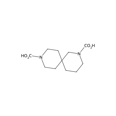 O=C(O)N1CCC2(CCCN(C(=O)O)C2)CC1